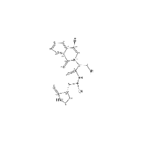 CC(C)CC(C(=O)NC(C#N)C[C@@H]1CCNC1=O)n1cc(Br)c2ccccc2c1=O